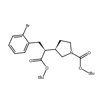 CC(C)(C)OC(=O)[C@@H](Cc1ccccc1Br)[C@H]1CCN(C(=O)OC(C)(C)C)C1